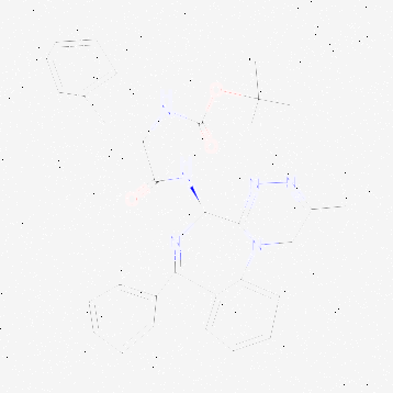 CC1=NN=C2[C@H](NC(=O)[C@H](Cc3ccccc3)NC(=O)OC(C)(C)C)N=C(c3ccccc3)c3ccccc3N2C1